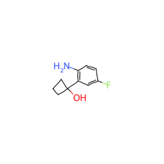 Nc1ccc(F)cc1C1(O)CCC1